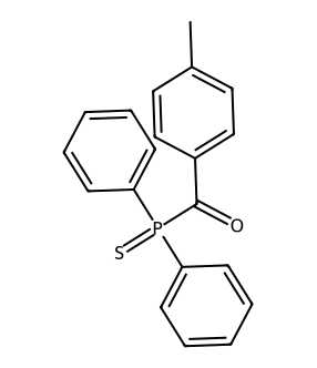 Cc1ccc(C(=O)P(=S)(c2ccccc2)c2ccccc2)cc1